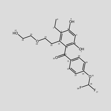 CCc1c(O)cc(O)c(C(=O)c2ccc(OC(F)F)cc2)c1CCOCCO